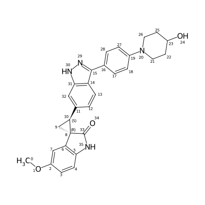 COc1ccc2c(c1)[C@]1(C[C@H]1c1ccc3c(-c4ccc(N5CCC(O)CC5)cc4)n[nH]c3c1)C(=O)N2